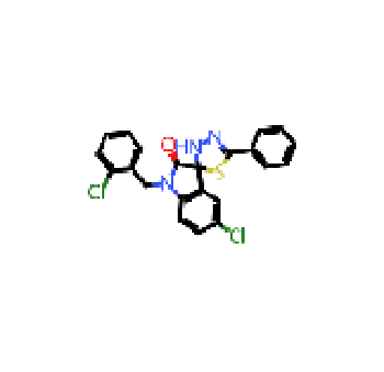 O=C1N(Cc2ccccc2Cl)c2ccc(Cl)cc2C12NN=C(c1ccccc1)S2